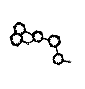 Brc1cccc(-c2cccc(-c3ccc4c(c3)Sc3cccc5cccc-4c35)c2)c1